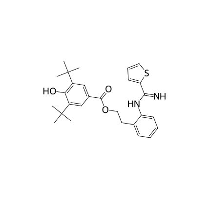 CC(C)(C)c1cc(C(=O)OCCc2ccccc2NC(=N)c2cccs2)cc(C(C)(C)C)c1O